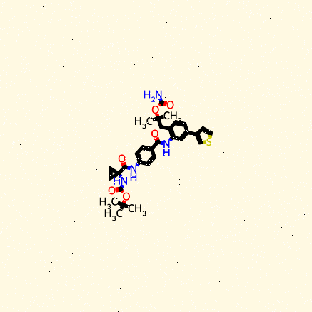 CC(C)(C)OC(=O)NC1(C(=O)Nc2ccc(C(=O)Nc3cc(-c4ccsc4)ccc3CC(C)(C)OC(N)=O)cc2)CC1